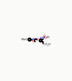 COc1ccc(-c2nc(CCOc3ccc(CCC(=O)O)c(CNC(=O)OC(C)C)c3)c(C)o2)cc1